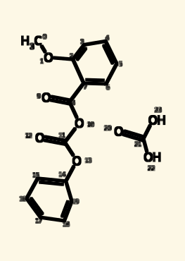 COc1ccccc1C(=O)OC(=O)Oc1ccccc1.O=C(O)O